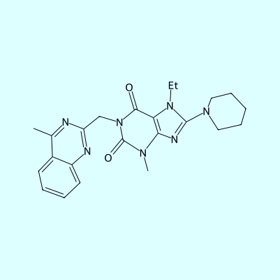 CCn1c(N2CCCCC2)nc2c1c(=O)n(Cc1nc(C)c3ccccc3n1)c(=O)n2C